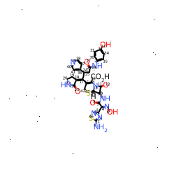 Nc1nc(C(=NO)C(=O)N[C@@H]2C(=O)N3C(C(=O)O)=C(C(=C4CCNC4=O)C(CC(=O)Nc4ccc(O)cc4)c4ccncc4)CS[C@H]23)ns1